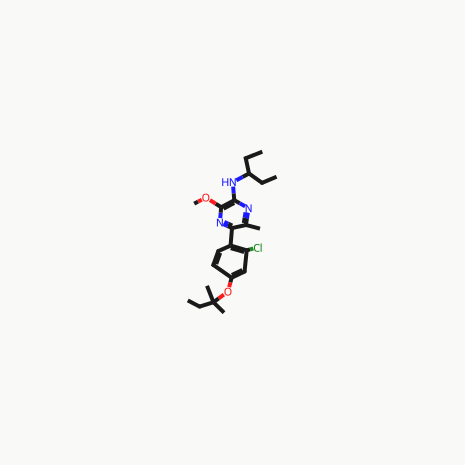 CCC(CC)Nc1nc(C)c(-c2ccc(OC(C)(C)CC)cc2Cl)nc1OC